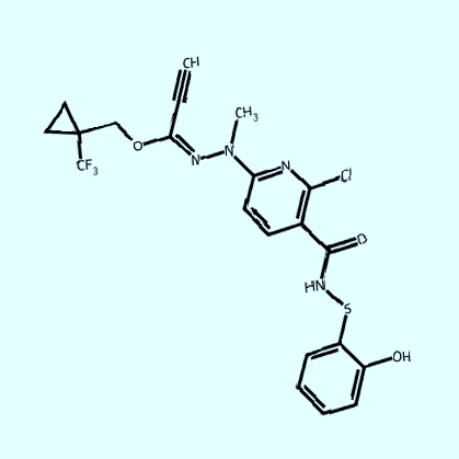 C#C/C(=N\N(C)c1ccc(C(=O)NSc2ccccc2O)c(Cl)n1)OCC1(C(F)(F)F)CC1